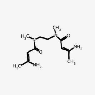 C/C(N)=C/C(=O)N(C)CCN(C)C(=O)/C=C(/C)N